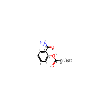 CCCCCCCC(=O)Oc1ccccc1C(N)=O